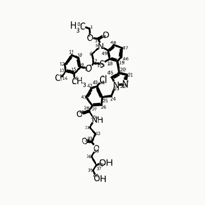 CCOC(=O)N1CC(Oc2cccc(Cl)c2C)Sc2c(-c3cnn(Cc4cc(C(=O)NCCC(=O)OCC(O)CO)ccc4Cl)c3)cccc21